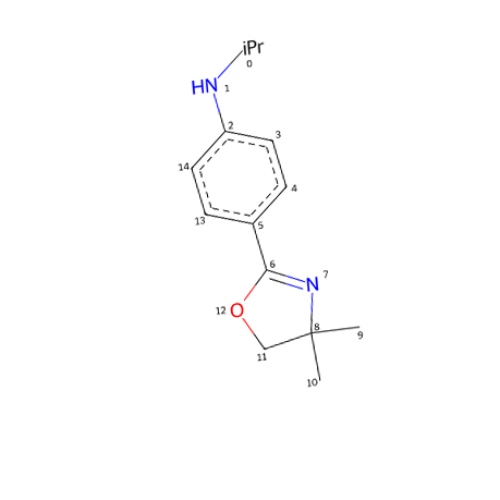 CC(C)Nc1ccc(C2=NC(C)(C)CO2)cc1